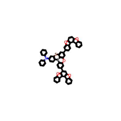 c1ccc(N(c2ccccc2)c2ccc3c(c2)Sc2cc(-c4ccc5c(c4)oc4ccc6oc7ccccc7c6c45)cc4c2B3c2ccc(-c3cc5oc6ccccc6c5c5c3oc3ccccc35)cc2O4)cc1